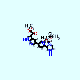 COC(=O)C(=O)c1c[nH]c2ncc(-c3ccc(C4CNCCN4C(=O)OC(C)(C)C)nc3)cc12